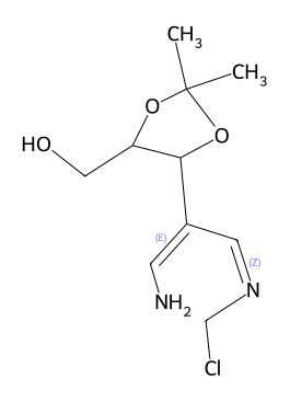 CC1(C)OC(CO)C(C(/C=N\CCl)=C/N)O1